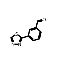 O=Cc1cccc(-c2nncs2)c1